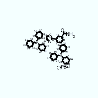 NC(=O)c1cccc(-c2nccs2)c1.[Cl][Pd][Cl].c1ccc(P(c2ccccc2)c2ccccc2)cc1.c1ccc(P(c2ccccc2)c2ccccc2)cc1